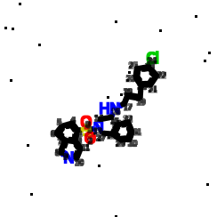 O=S(=O)(c1cccc2cnccc12)N(CCNC/C=C/c1ccc(Cl)cc1)Cc1ccccc1